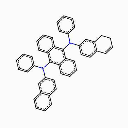 C1=Cc2ccc(N(c3ccccc3)c3c4ccccc4c(N(c4ccccc4)c4ccc5ccccc5c4)c4ccccc34)cc2CC1